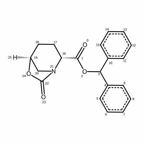 O=C(OC(c1ccccc1)c1ccccc1)[C@H]1CC[C@H]2CN1C(=O)O2